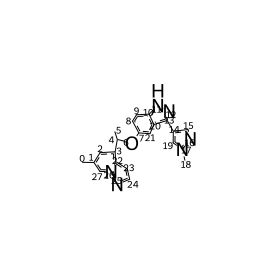 Cc1cc(C(C)Oc2ccc3[nH]nc(-c4cnn(C)c4)c3c2)c2ccnn2c1